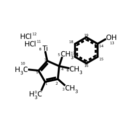 CC1=C(C)C(C)(C)[C]([Ti])=C1C.Cl.Cl.Oc1ccccc1